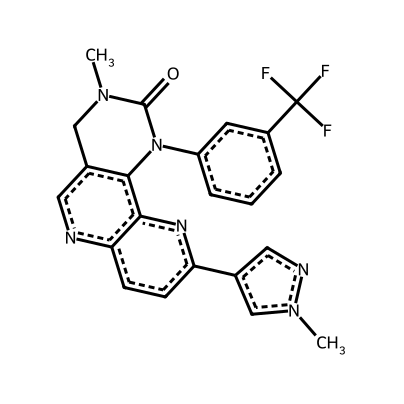 CN1Cc2cnc3ccc(-c4cnn(C)c4)nc3c2N(c2cccc(C(F)(F)F)c2)C1=O